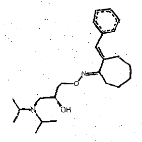 CC(C)N(C[C@H](O)CO/N=C1\CCCCC\C1=C/c1ccccc1)C(C)C